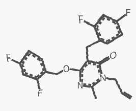 C=CCn1c(C)nc(OCc2ccc(F)cc2F)c(Cc2ccc(F)cc2F)c1=O